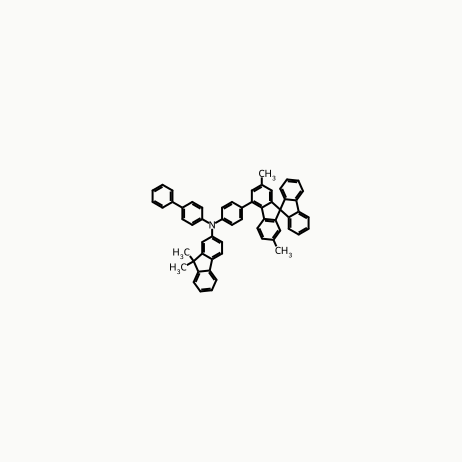 Cc1ccc2c(c1)C1(c3ccccc3-c3ccccc31)c1cc(C)cc(-c3ccc(N(c4ccc(-c5ccccc5)cc4)c4ccc5c(c4)C(C)(C)c4ccccc4-5)cc3)c1-2